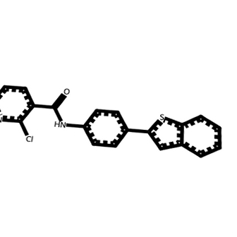 O=C(Nc1ccc(-c2cc3ccccc3s2)cc1)c1cccnc1Cl